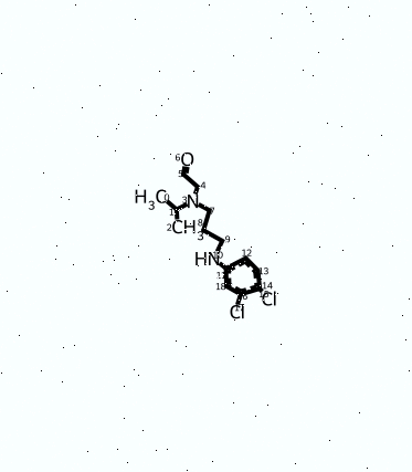 CC(C)N(CC=O)CCCNc1ccc(Cl)c(Cl)c1